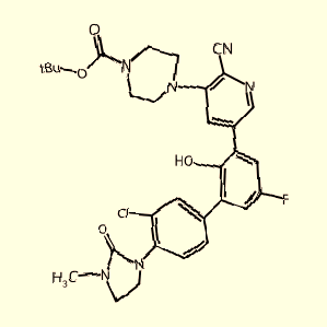 CN1CCN(c2ccc(-c3cc(F)cc(-c4cnc(C#N)c(N5CCN(C(=O)OC(C)(C)C)CC5)c4)c3O)cc2Cl)C1=O